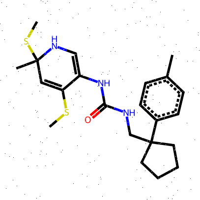 CSC1=CC(C)(SC)NC=C1NC(=O)NCC1(c2ccc(C)cc2)CCCC1